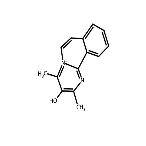 Cc1nc2c3ccccc3cc[n+]2c(C)c1O